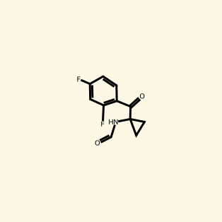 O=CNC1(C(=O)c2ccc(F)cc2F)CC1